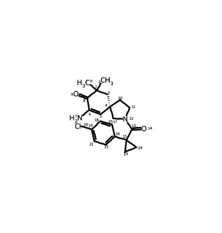 CC1(C)C[C@]2(C=C(N)C1=O)CCN(C(=O)C1(c3ccc(Cl)cc3)CC1)C2